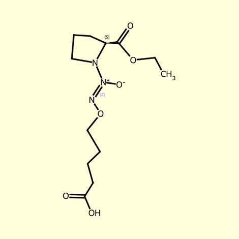 CCOC(=O)[C@@H]1CCCN1/[N+]([O-])=N/OCCCCC(=O)O